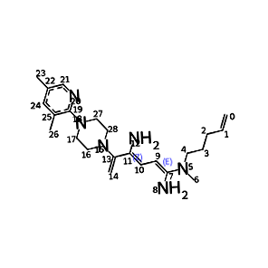 C=CCCCN(C)/C(N)=C/C=C(\N)C(=C)N1CCN(c2ncc(C)cc2C)CC1